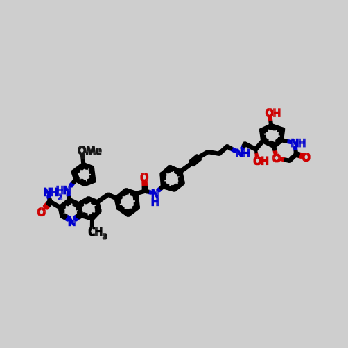 COc1cccc(Nc2c(C(N)=O)cnc3c(C)cc(Cc4cccc(C(=O)Nc5ccc(C#CCCCNC[C@H](O)c6cc(O)cc7c6OCC(=O)N7)cc5)c4)cc23)c1